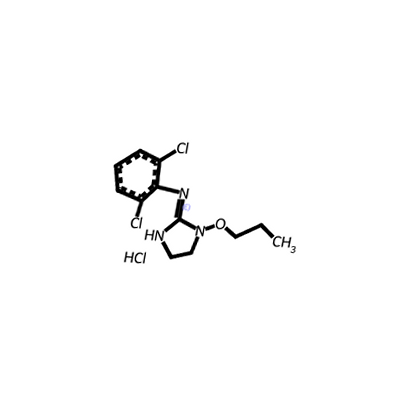 CCCON1CCN/C1=N\c1c(Cl)cccc1Cl.Cl